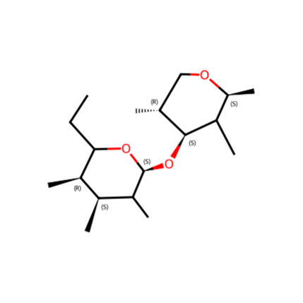 CCC1O[C@@H](O[C@@H]2C(C)[C@H](C)OC[C@H]2C)C(C)[C@@H](C)[C@H]1C